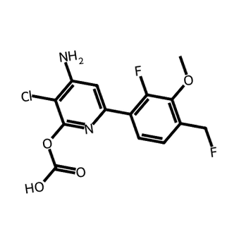 COc1c(CF)ccc(-c2cc(N)c(Cl)c(OC(=O)O)n2)c1F